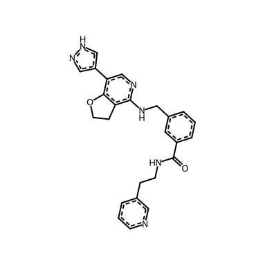 O=C(NCCc1cccnc1)c1cccc(CNc2ncc(-c3cn[nH]c3)c3c2CCO3)c1